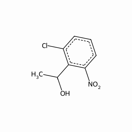 C[C](O)c1c(Cl)cccc1[N+](=O)[O-]